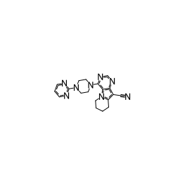 N#Cc1c2n(c3c(N4CCN(c5ncccn5)CC4)ncnc13)CCCC2